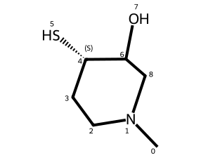 CN1CC[C@H](S)C(O)C1